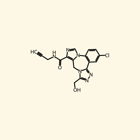 C#CCNC(=O)c1ncn2c1Cn1c(CO)nnc1-c1cc(Cl)ccc1-2